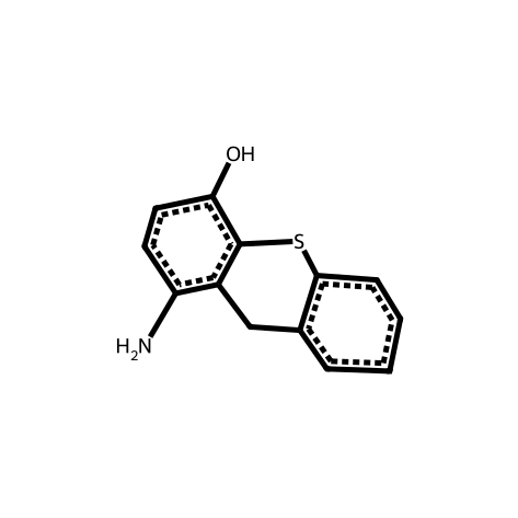 Nc1ccc(O)c2c1Cc1ccccc1S2